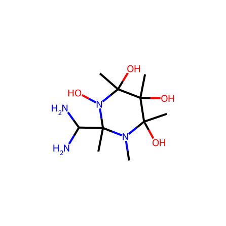 CN1C(C)(C(N)N)N(O)C(C)(O)C(C)(O)C1(C)O